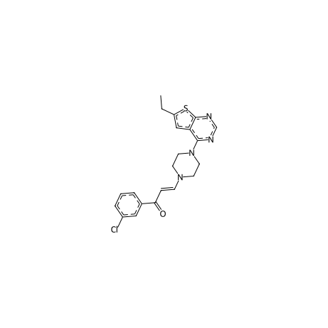 CCc1cc2c(N3CCN(C=CC(=O)c4cccc(Cl)c4)CC3)ncnc2s1